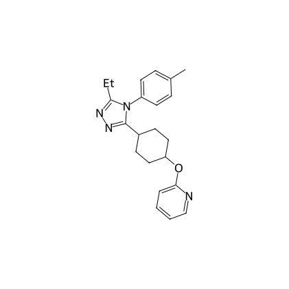 CCc1nnc(C2CCC(Oc3ccccn3)CC2)n1-c1ccc(C)cc1